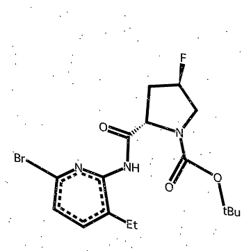 CCc1ccc(Br)nc1NC(=O)[C@@H]1C[C@@H](F)CN1C(=O)OC(C)(C)C